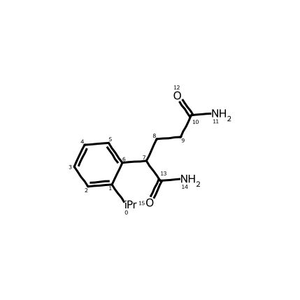 CC(C)c1ccccc1C(CCC(N)=O)C(N)=O